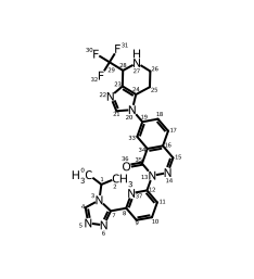 CC(C)n1cnnc1-c1cccc(-n2ncc3ccc(-n4cnc5c4CCNC5C(F)(F)F)cc3c2=O)n1